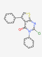 O=c1c2c(-c3ccccc3)csc2nc(Cl)n1-c1ccccc1